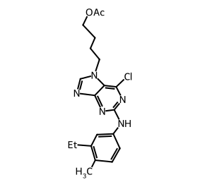 CCc1cc(Nc2nc(Cl)c3c(ncn3CCCCOC(C)=O)n2)ccc1C